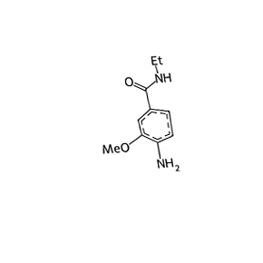 CCNC(=O)c1ccc(N)c(OC)c1